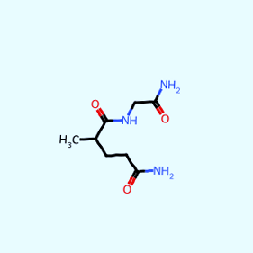 CC(CCC(N)=O)C(=O)NCC(N)=O